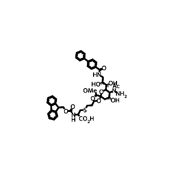 COC(=O)C1(OCCCSCC(NC(=O)OCC2c3ccccc3-c3ccccc32)C(=O)O)C[C@@H](O)C(N(N)C(C)=O)C([C@H](O)[C@H](O)CNC(=O)c2ccc(-c3ccccc3)cc2)O1